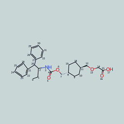 CCC(NC(=O)OC[C@H]1CC[C@H](COCC(=O)O)CC1)C(c1ccccc1)c1ccccc1